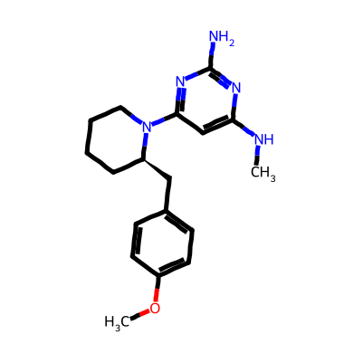 CNc1cc(N2CCCC[C@@H]2Cc2ccc(OC)cc2)nc(N)n1